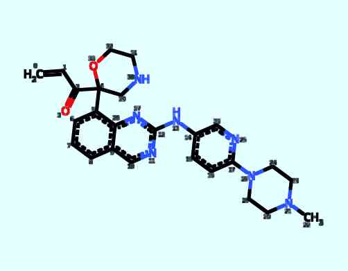 C=CC(=O)C1(c2cccc3cnc(Nc4ccc(N5CCN(C)CC5)nc4)nc23)CNCCO1